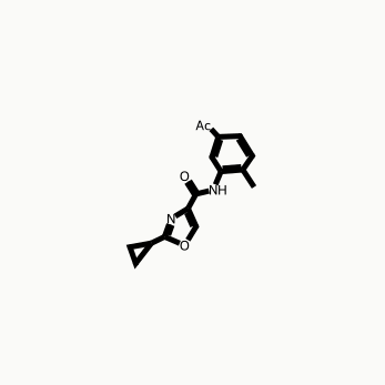 CC(=O)c1ccc(C)c(NC(=O)c2coc(C3CC3)n2)c1